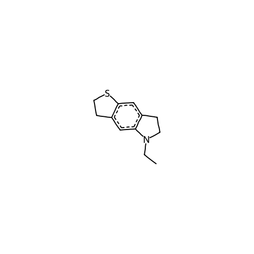 CCN1CCc2cc3c(cc21)CCS3